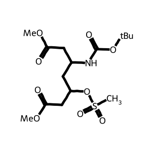 COC(=O)CC(CC(CC(=O)OC)OS(C)(=O)=O)NC(=O)OC(C)(C)C